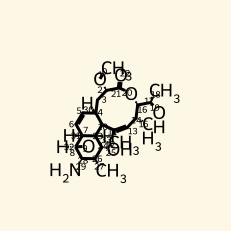 CO[C@H]1C[C@H]2C=C[C@H]3[C@H]4O[C@]2(C(C)=C[C@@H](C)[C@@H]([C@@H](C)O)OC1=O)[C@@H]3[C@H](O)[C@@H](C)[C@@H]4N